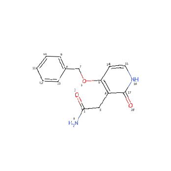 NC(=O)Cc1c(OCc2ccccc2)cc[nH]c1=O